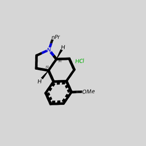 CCCN1CC[C@H]2c3cccc(OC)c3CC[C@H]21.Cl